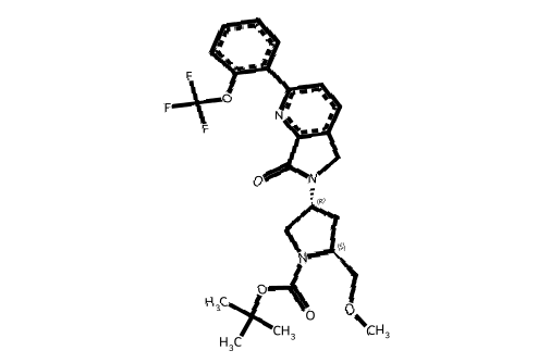 COC[C@@H]1C[C@@H](N2Cc3ccc(-c4ccccc4OC(F)(F)F)nc3C2=O)CN1C(=O)OC(C)(C)C